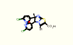 CC(C)C1=C(C(=O)O)SC2=N[C@@](C)(c3ccc(Cl)nc3)C(c3ccc(Cl)nc3)N21